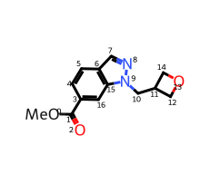 COC(=O)c1ccc2cnn(CC3COC3)c2c1